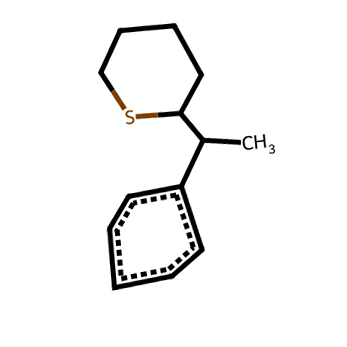 CC(c1ccccc1)C1CCCCS1